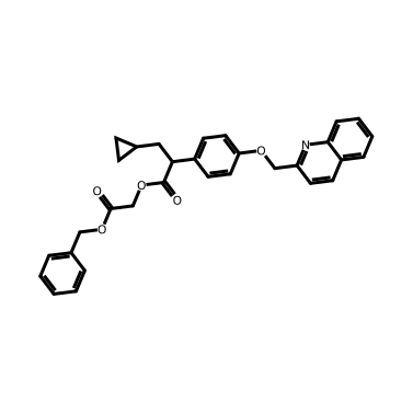 O=C(COC(=O)C(CC1CC1)c1ccc(OCc2ccc3ccccc3n2)cc1)OCc1ccccc1